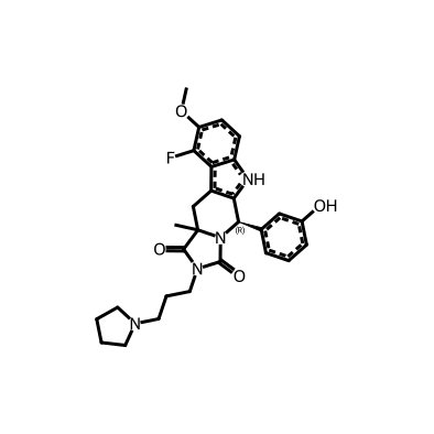 COc1ccc2[nH]c3c(c2c1F)CC1(C)C(=O)N(CCCN2CCCC2)C(=O)N1[C@@H]3c1cccc(O)c1